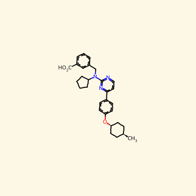 C[C@H]1CC[C@@H](Oc2ccc(-c3ccnc(N(Cc4cccc(C(=O)O)c4)C4CCCC4)n3)cc2)CC1